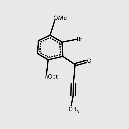 CC#CC(=O)c1c(CCCCCCCC)ccc(OC)c1Br